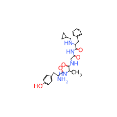 C[C@@H](NC(=O)[C@@H](N)Cc1ccc(O)cc1)C(=O)NCC(=O)NC(=O)[C@H](Cc1ccccc1)NCC1CC1